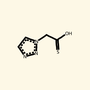 OC(=S)Cn1ccnn1